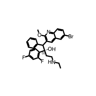 CCNCC[C@@](O)(c1ccc(F)cc1F)C(c1ccccc1)c1cc2cc(Br)ccc2nc1OC